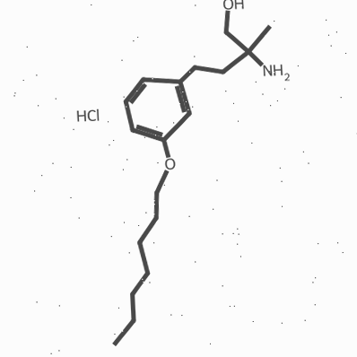 CCCCCCCOc1cccc(CCC(C)(N)CO)c1.Cl